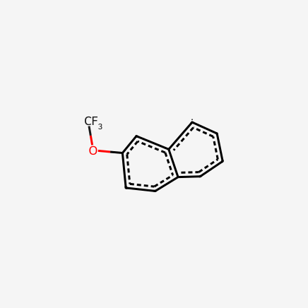 FC(F)(F)Oc1ccc2ccc[c]c2c1